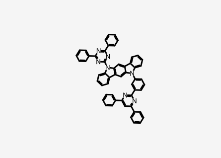 c1ccc(-c2cc(-c3ccccc3)nc(-c3cccc(-n4c5ccccc5c5cc6c(cc54)c4ccccc4n6-c4nc(-c5ccccc5)nc(-c5ccccc5)n4)c3)n2)cc1